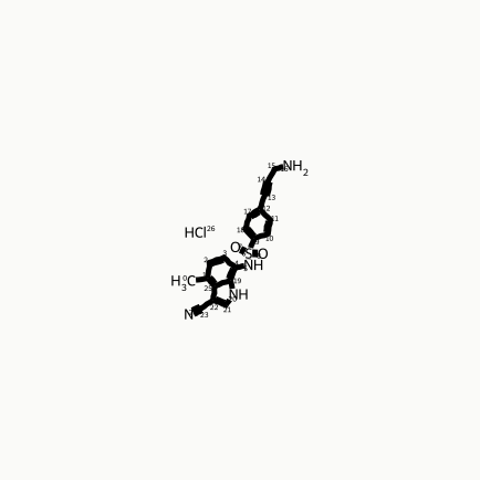 Cc1ccc(NS(=O)(=O)c2ccc(C#CCN)cc2)c2[nH]cc(C#N)c12.Cl